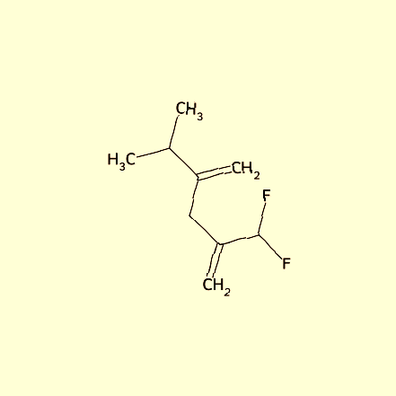 C=C(CC(=C)C(F)F)C(C)C